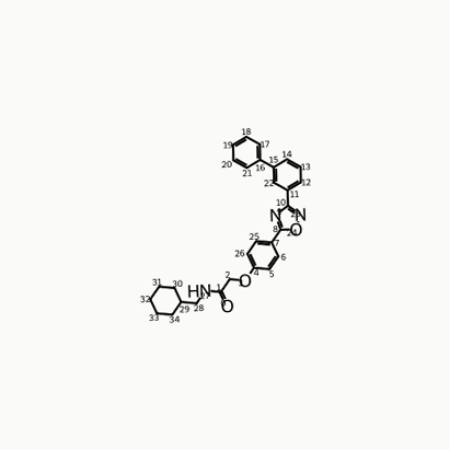 O=C(COc1ccc(-c2nc(-c3cccc(-c4ccccc4)c3)no2)cc1)NCC1CCCCC1